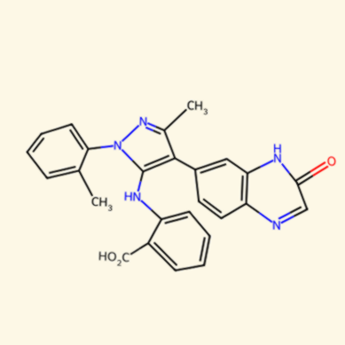 Cc1ccccc1-n1nc(C)c(-c2ccc3ncc(=O)[nH]c3c2)c1Nc1ccccc1C(=O)O